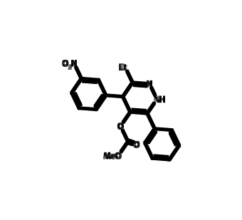 CCC1=NNC(c2ccccc2)=C(OC(=O)OC)C1c1cccc([N+](=O)[O-])c1